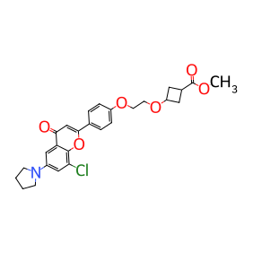 COC(=O)C1CC(OCCOc2ccc(-c3cc(=O)c4cc(N5CCCC5)cc(Cl)c4o3)cc2)C1